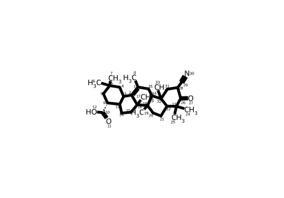 CC1=C2C3CC(C)(C)C[C@@H](C(=O)O)C3CCC2(C)C2(C)CCC3C(C)(C)C(=O)C(C#N)CC3(C)C2C1